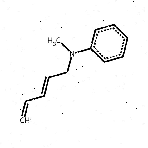 [CH]=CC=CCN(C)c1ccccc1